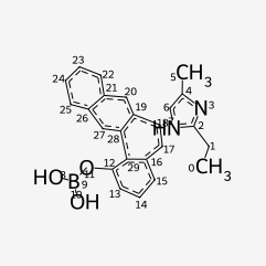 CCc1nc(C)c[nH]1.OB(O)Oc1cccc2ccc3cc4ccccc4cc3c12